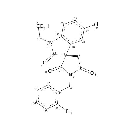 O=C(O)CN1C(=O)[C@]2(CC(=O)N(Cc3ccccc3F)C2=O)c2cc(Cl)ccc21